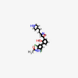 CC(=O)Nc1c(F)cc(-c2cccc(-c3cc(CCC4CCNCC4)no3)c2O)cc1F